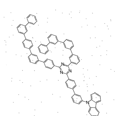 c1ccc(-c2cccc(-c3ccc(-c4cccc(-c5ccc(-c6nc(-c7ccc(-c8cccc(-n9c%10ccccc%10c%10ccccc%109)c8)cc7)nc(-c7cccc(-c8cccc(-c9cccc(-c%10ccccc%10)c9)c8)c7)n6)cc5)c4)cc3)c2)cc1